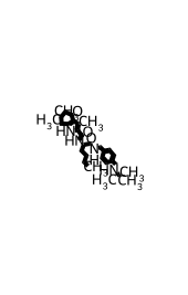 CCCCC(NC(=O)c1[nH]c2c(c1C)C(=O)CC(C)(C)C2)C(=O)NCc1ccc(CNC(C)(C)C)cc1